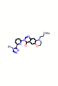 COCCN1CCOc2cc3c(=O)n(-c4cccc(-c5nncn5C(C)C)n4)cnc3cc21